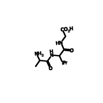 CC(N)C(=O)NC(C(=O)NCC(=O)O)C(C)C